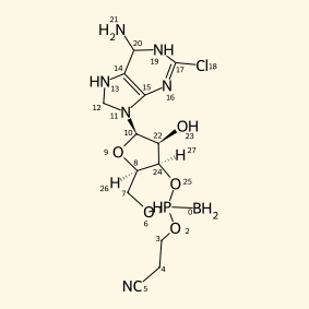 B[PH]1(OCCC#N)OC[C@H]2O[C@@H](N3CNC4=C3N=C(Cl)NC4N)[C@@H](O)[C@H]2O1